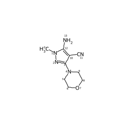 Cn1nc(N2CCOCC2)c(C#N)c1N